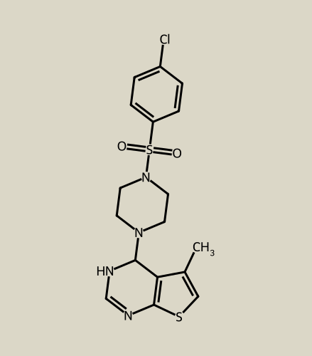 Cc1csc2c1C(N1CCN(S(=O)(=O)c3ccc(Cl)cc3)CC1)NC=N2